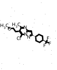 COCCc1c(C)nc2cc([C@H]3CC[C@H](C(F)(F)F)CC3)nn2c1Cl